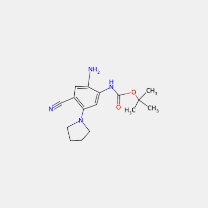 CC(C)(C)OC(=O)Nc1cc(N2CCCC2)c(C#N)cc1N